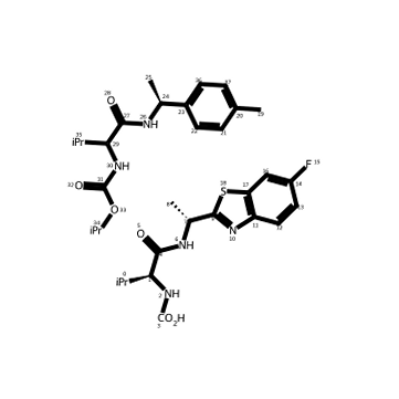 CC(C)[C@H](NC(=O)O)C(=O)N[C@H](C)c1nc2ccc(F)cc2s1.Cc1ccc([C@H](C)NC(=O)C(NC(=O)OC(C)C)C(C)C)cc1